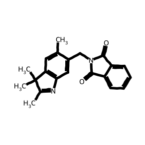 CC1=Nc2cc(CN3C(=O)c4ccccc4C3=O)c(C)cc2C1(C)C